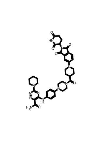 NC(=O)c1nnc(N2CCCCC2)nc1Nc1ccc(N2CCN(C(=O)C3CCN(c4ccc5c(c4)C(=O)N(C4CCC(=O)NC4=O)C5=O)CC3)CC2)cc1